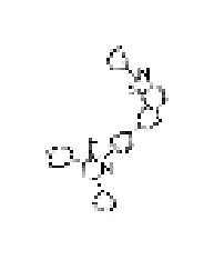 C1=C(c2ccccc2)NC(c2ccc(-c3ccc4ccc5nc(-c6ccccc6)sc5c4c3)cc2)N=C1c1ccccc1